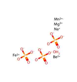 O.O=P([O-])([O-])[O-].O=P([O-])([O-])[O-].O=P([O-])([O-])[O-].[Be+2].[Fe+2].[Mg+2].[Mn+2].[Na+]